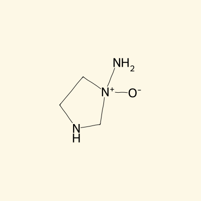 N[N+]1([O-])CCNC1